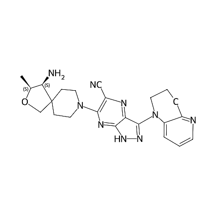 C[C@@H]1OCC2(CCN(c3nc4[nH]nc(N5CCCc6ncccc65)c4nc3C#N)CC2)[C@@H]1N